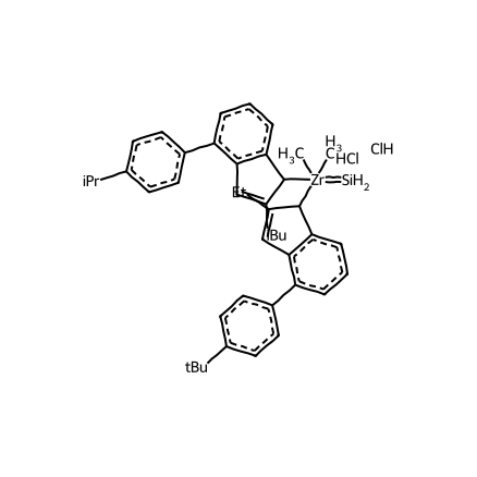 CCC1=Cc2c(-c3ccc(C(C)(C)C)cc3)cccc2[CH]1[Zr]([CH3])([CH3])(=[SiH2])[CH]1C(C(C)CC)=Cc2c(-c3ccc(C(C)C)cc3)cccc21.Cl.Cl